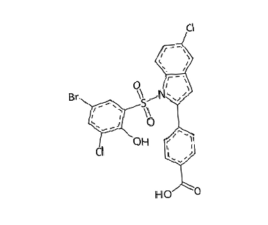 O=C(O)c1ccc(-c2cc3cc(Cl)ccc3n2S(=O)(=O)c2cc(Br)cc(Cl)c2O)cc1